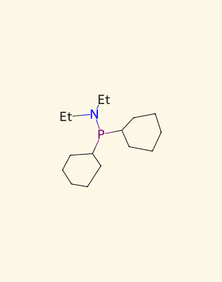 CCN(CC)P(C1CCCCC1)C1CCCCC1